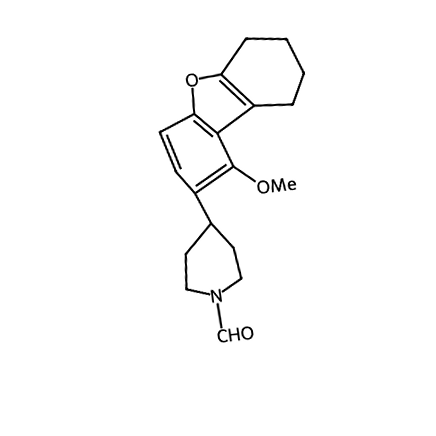 COc1c(C2CCN(C=O)CC2)ccc2oc3c(c12)CCCC3